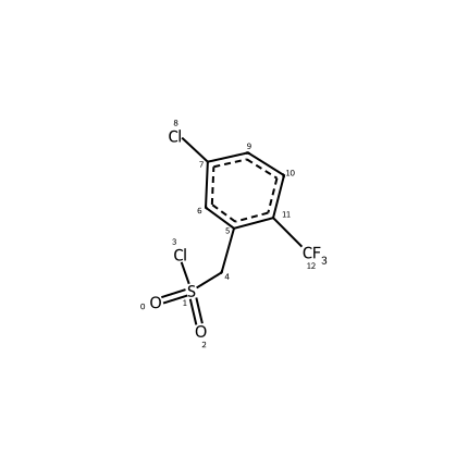 O=S(=O)(Cl)Cc1cc(Cl)ccc1C(F)(F)F